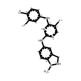 CN1NCc2cc(Nc3ncc(F)c(Nc4ccc(Cl)c(F)c4)n3)ccc21